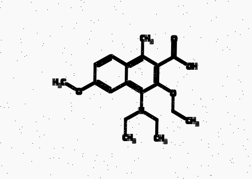 CCOc1c(C(=O)O)c(C)c2ccc(OC)cc2c1N(CC)CC